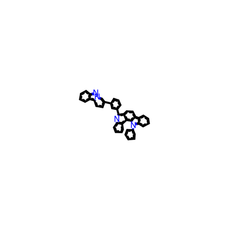 c1ccc(-n2c3ccccc3c3ccc4c(-c5cccc(-c6ccc7c8ccccc8nn7c6)c5)nc5ccccc5c4c32)cc1